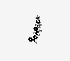 N#CC(=C1CCN(C(=O)C(=O)c2c[nH]c3c(NC(=O)NC4CCN(C(=O)C(F)(F)F)CC4)cccc23)CC1)c1ccccc1